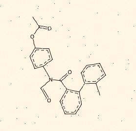 CC(=O)Oc1ccc(N(C=O)C(=O)c2ccccc2-c2ccccc2C)cc1